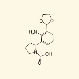 Nc1c(C2OCCO2)cccc1C1CCCN1C(=O)O